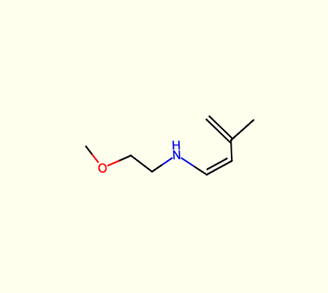 C=C(C)/C=C\NCCOC